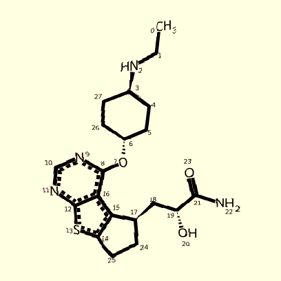 CCN[C@H]1CC[C@H](Oc2ncnc3sc4c(c23)[C@@H](C[C@@H](O)C(N)=O)CC4)CC1